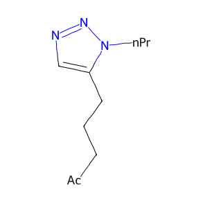 CCCn1nncc1CCCC(C)=O